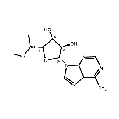 COC(C)[C@H]1O[C@@H](N2C=NC3C(N)=NC=NC32)[C@H](O)[C@@H]1O